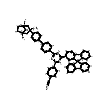 CC1(c2ccc(-c3ccc(-c4nc(-c5ccc(C#N)cc5)nc(-c5ccc6c(c5)C5(c7ccccc7-c7ccccc75)c5ccccc5-6)n4)cc3)cc2)C[C@@H]2CC[C@@H](C2)C1